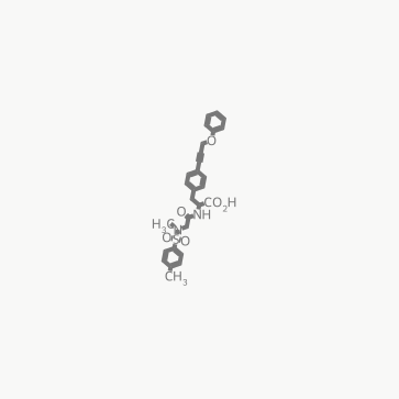 Cc1ccc(S(=O)(=O)N(C)CC(=O)NC(Cc2ccc(C#CCOc3ccccc3)cc2)C(=O)O)cc1